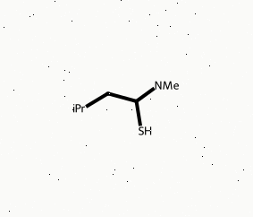 CNC(S)CC(C)C